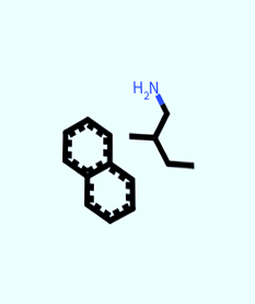 CCC(C)CN.c1ccc2ccccc2c1